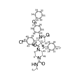 CCNC(=O)N1CCN(C(=O)C2(Sc3ccc(C)cc3)CC(=O)N(c3ccc(Oc4ccccc4)cc3)C2c2ccc(Cl)cc2)CC1